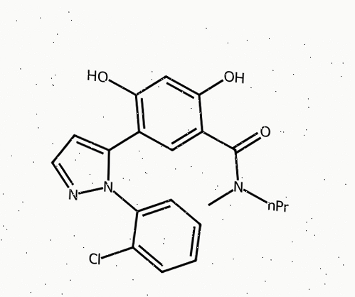 CCCN(C)C(=O)c1cc(-c2ccnn2-c2ccccc2Cl)c(O)cc1O